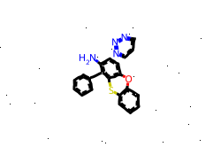 Nc1ccc2c(c1-c1ccccc1)Sc1ccccc1O2.c1cnnnc1